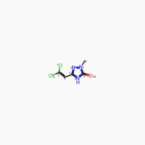 Cn1nc(C=C(Cl)Cl)[nH]c1=O